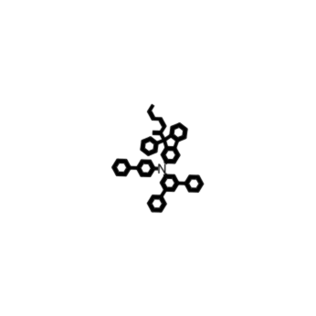 C=C(/C=C\C=C/C)C1(c2ccccc2)c2ccccc2-c2ccc(N(c3ccc(-c4ccccc4)cc3)c3cc(-c4ccccc4)cc(-c4ccccc4)c3)cc21